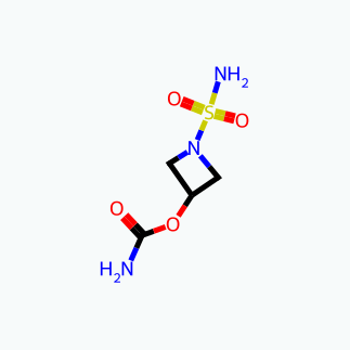 NC(=O)OC1CN(S(N)(=O)=O)C1